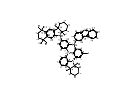 Cc1cc2c3c(c1)N1c4c(cccc4C4(C)CCCCC14C)B3c1ccc(N3c4cc5c(cc4C4(C)CCCCC34C)C(C)(C)CCC5(C)C)cc1N2c1ccc2sc3ccccc3c2c1